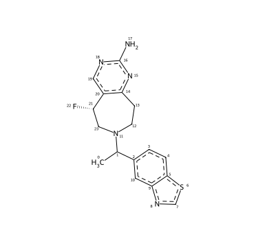 CC(c1ccc2scnc2c1)N1CCc2nc(N)ncc2[C@@H](F)C1